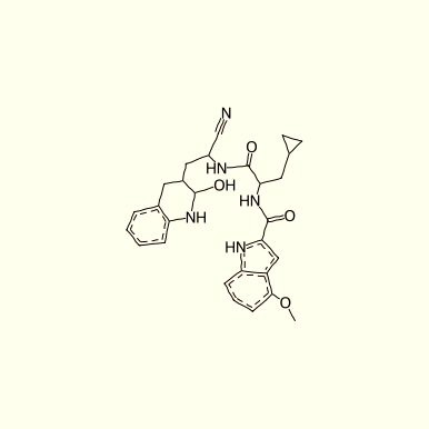 COc1cccc2[nH]c(C(=O)NC(CC3CC3)C(=O)NC(C#N)CC3Cc4ccccc4NC3O)cc12